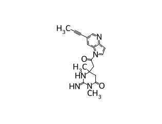 CC#Cc1cnc2ccn(C(=O)CC3(C)CC(=O)N(C)C(=N)N3)c2c1